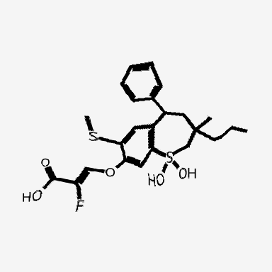 CCCC1(C)CC(c2ccccc2)c2cc(SC)c(O/C=C(\F)C(=O)O)cc2S(O)(O)C1